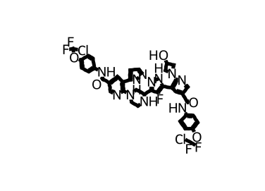 O=C(Nc1ccc(OC(F)(F)Cl)cc1)c1cnc(N2CCNC(c3n[nH]c(-c4cc(C(=O)Nc5ccc(OC(F)(F)Cl)cc5)cnc4N4CC(O)C4)c3F)C2)c(-c2ccn[nH]2)c1